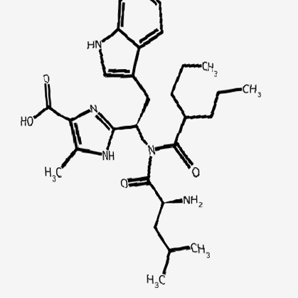 CCCC(CCC)C(=O)N(C(=O)[C@@H](N)CC(C)C)[C@H](Cc1c[nH]c2ccccc12)c1nc(C(=O)O)c(C)[nH]1